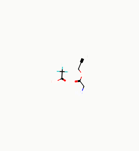 C#CCOC(=O)CN.O=C(O)C(F)(F)F